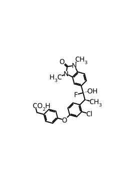 C[C@@H](c1ccc(Oc2ccc(CC(=O)O)cc2)cc1Cl)[C@@](O)(F)c1ccc2c(c1)n(C)c(=O)n2C